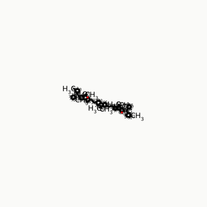 Cc1cccc(N(c2ccc3c(c2)C(C)(C)c2cc(/C=C/c4ccc5c(c4)C(C)(C)c4cc(/C=C/c6ccc7c(c6)C(C)(C)c6cc(N(c8cccc(C)c8)c8ccccc8C)ccc6-7)ccc4-5)ccc2-3)c2ccccc2C)c1